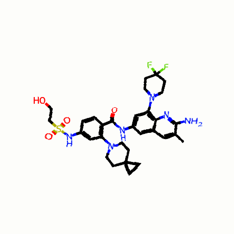 Cc1cc2cc(NC(=O)c3ccc(NS(=O)(=O)CCO)cc3N3CCC4(CC3)CC4)cc(N3CCC(F)(F)CC3)c2nc1N